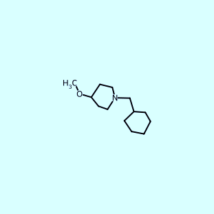 COC1CCN(CC2CCCCC2)CC1